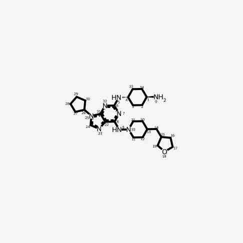 N[C@H]1CC[C@H](Nc2nc(NN3CCC(CC4CCOC4)CC3)c3ncn(C4CCCC4)c3n2)CC1